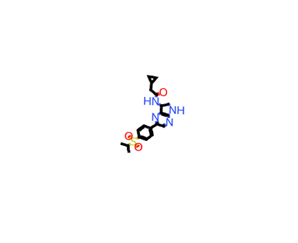 CC(C)S(=O)(=O)c1ccc(-c2cnc3c(n2)C(NC(=O)CC2CC2)CN3)cc1